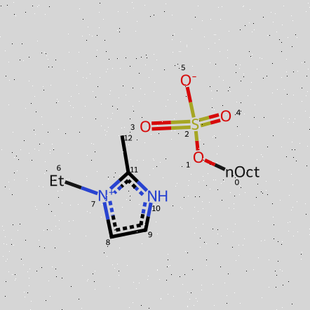 CCCCCCCCOS(=O)(=O)[O-].CC[n+]1cc[nH]c1C